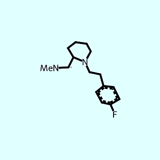 CN[CH]C1CCCCN1CCc1ccc(F)cc1